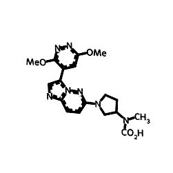 COc1cc(-c2cnc3ccc(N4CCC(N(C)C(=O)O)C4)nn23)c(OC)nn1